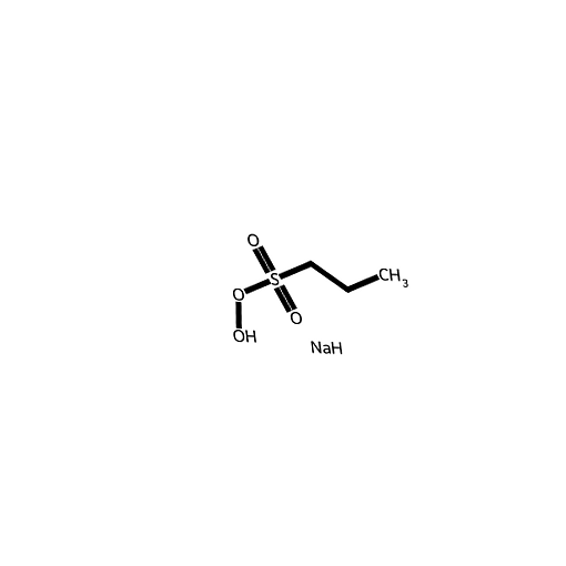 CCCS(=O)(=O)OO.[NaH]